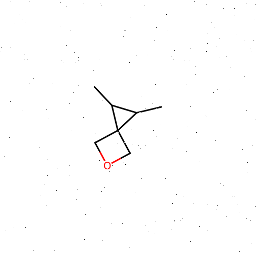 CC1C(C)C12COC2